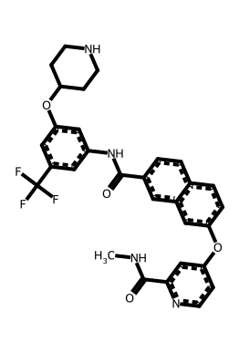 CNC(=O)c1cc(Oc2ccc3ccc(C(=O)Nc4cc(OC5CCNCC5)cc(C(F)(F)F)c4)cc3c2)ccn1